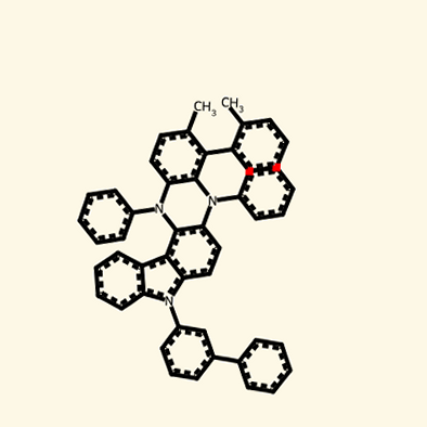 Cc1ccccc1-c1c(C)ccc2c1N(c1ccccc1)c1ccc3c(c1N2c1ccccc1)c1ccccc1n3-c1cccc(-c2ccccc2)c1